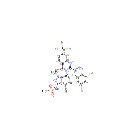 Cn1nc(NS(C)(=O)=O)c2c(Cl)ccc(-n3c([C@@H](N)Cc4cc(F)cc(F)c4)nc4cc(C(F)(F)F)ccc4c3=O)c21